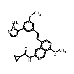 CNc1ncc(/C=C/c2cc(OC)cc(-c3ncnn3C)c2)c2cc(NC(=O)C3CC3)ncc12